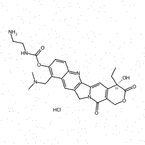 CC[C@@]1(O)C(=O)OCc2c1cc1n(c2=O)Cc2cc3c(CN(C)C)c(OC(=O)NCCN)ccc3nc2-1.Cl